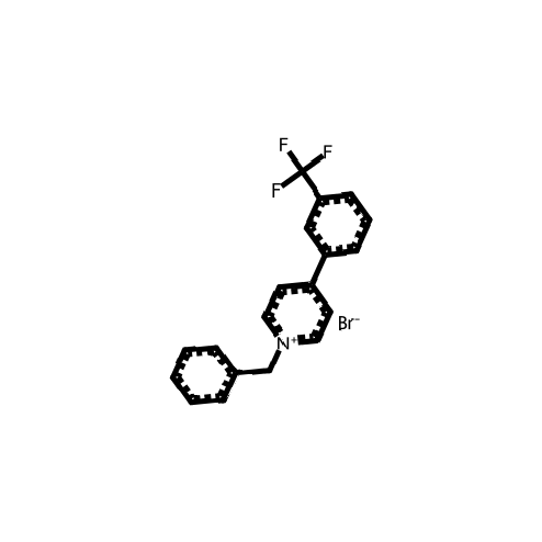 FC(F)(F)c1cccc(-c2cc[n+](Cc3ccccc3)cc2)c1.[Br-]